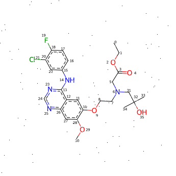 CCOC(=O)CN(CCOc1cc2c(Nc3ccc(F)c(Cl)c3)ncnc2cc1OC)CC(C)(C)O